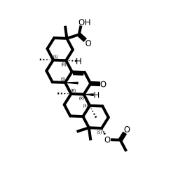 CC(=O)O[C@H]1CC[C@@]2(C)C(CC[C@]3(C)[C@@H]2C(=O)C=C2[C@@H]4CC(C)(C(=O)O)CC[C@]4(C)CC[C@]23C)C1(C)C